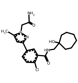 Cc1cc(-c2ccc(Cl)c(C(=O)NCC3(O)CCCCCC3)c2)nn1CC(N)=O